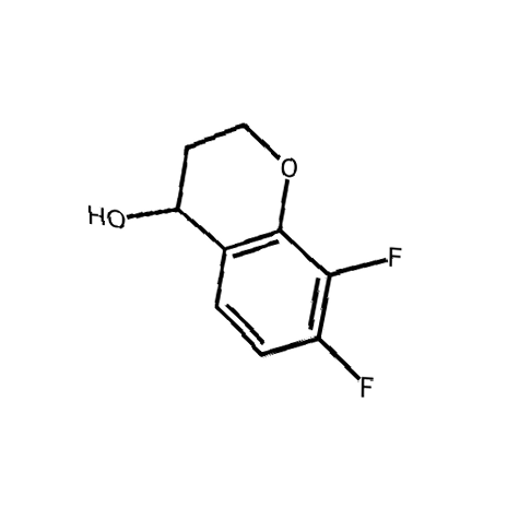 OC1CCOc2c1ccc(F)c2F